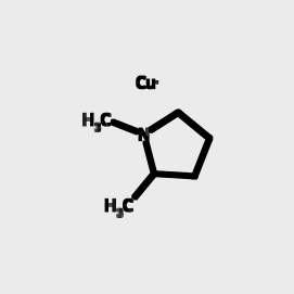 CC1CCCN1C.[Cu]